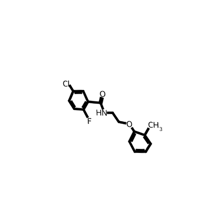 Cc1ccccc1OCCNC(=O)c1cc(Cl)ccc1F